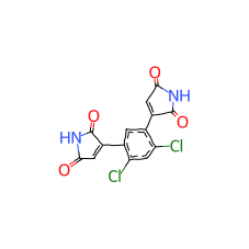 O=C1C=C(c2cc(C3=CC(=O)NC3=O)c(Cl)cc2Cl)C(=O)N1